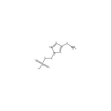 CS(=O)(=O)CCn1cc(CN)cn1